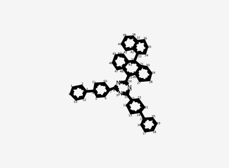 c1ccc(-c2ccc(-c3nc(-c4ccc(-c5ccccc5)cc4)nc(-c4c5ccccc5c(-c5cccc6ccccc56)c5ccccc45)n3)cc2)cc1